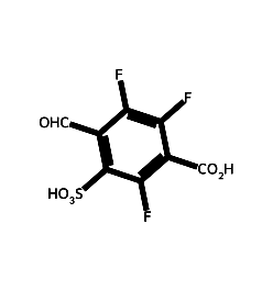 O=Cc1c(F)c(F)c(C(=O)O)c(F)c1S(=O)(=O)O